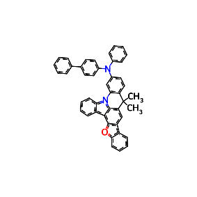 CC1(C)c2ccc(N(c3ccccc3)c3ccc(-c4ccccc4)cc3)cc2-n2c3ccccc3c3c4oc5ccccc5c4cc1c32